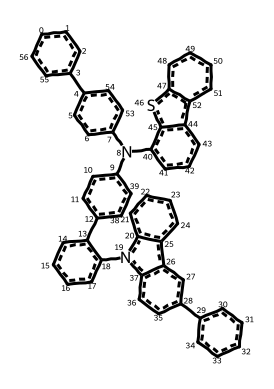 c1ccc(-c2ccc(N(c3ccc(-c4ccccc4-n4c5ccccc5c5cc(-c6ccccc6)ccc54)cc3)c3cccc4c3sc3ccccc34)cc2)cc1